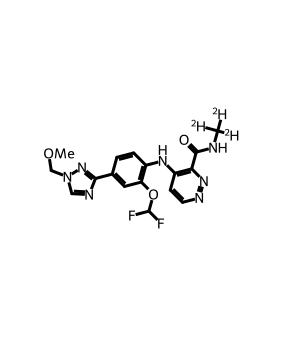 [2H]C([2H])([2H])NC(=O)c1nnccc1Nc1ccc(-c2ncn(COC)n2)cc1OC(F)F